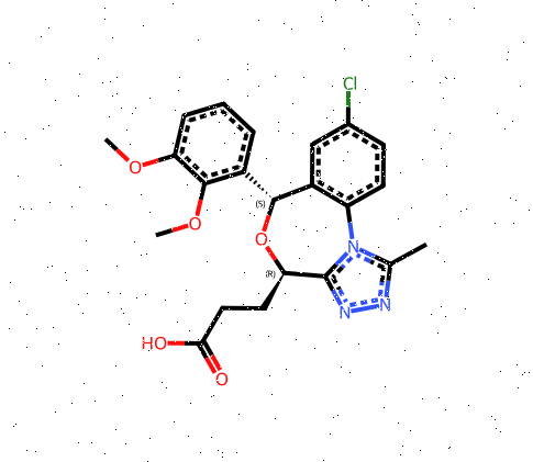 COc1cccc([C@H]2O[C@H](CCC(=O)O)c3nnc(C)n3-c3ccc(Cl)cc32)c1OC